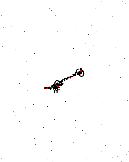 C=C(C)C(=O)OCCCCCCCCCCCCc1ccc2cc(-c3ccc(CCCCC)cc3C(F)(F)F)oc2c1